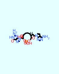 Nc1nc2c(ncn2C2OC3CCC[C@@H]4C[C@H](n5ccc6c(N)ncnc65)OC4COP(=O)(O)OC2C3O)c(=O)[nH]1